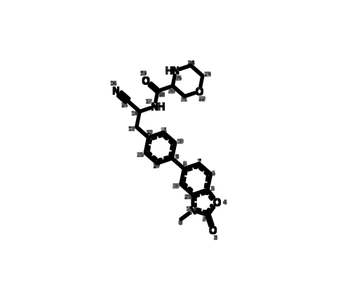 Cn1c(=O)oc2ccc(-c3ccc(CC(C#N)NC(=O)C4COCCN4)cc3)cc21